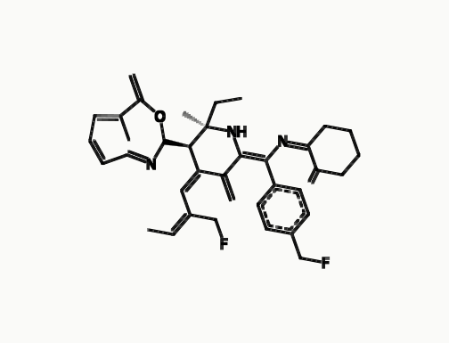 C=C1CCCC/C1=N/C(=C1\N[C@](C)(CC)[C@H](C2/N=C/C=C\C=C(/C)C(=C)O2)/C(=C/C(=C\C)CF)C1=C)c1ccc(CF)cc1